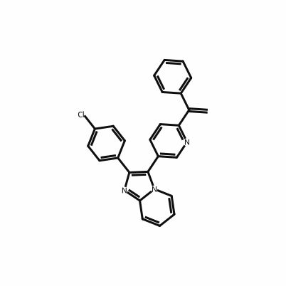 C=C(c1ccccc1)c1ccc(-c2c(-c3ccc(Cl)cc3)nc3ccccn23)cn1